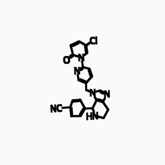 N#Cc1ccc(C2NCCc3ncn(Cc4ccc(-n5cc(Cl)ccc5=O)nc4)c32)cc1